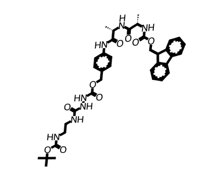 C[C@H](NC(=O)OCC1c2ccccc2-c2ccccc21)C(=O)N[C@@H](C)C(=O)Nc1ccc(COC(=O)NNC(=O)NCCNC(=O)OC(C)(C)C)cc1